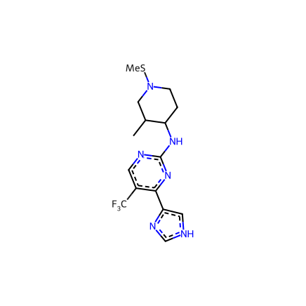 CSN1CCC(Nc2ncc(C(F)(F)F)c(-c3c[nH]cn3)n2)C(C)C1